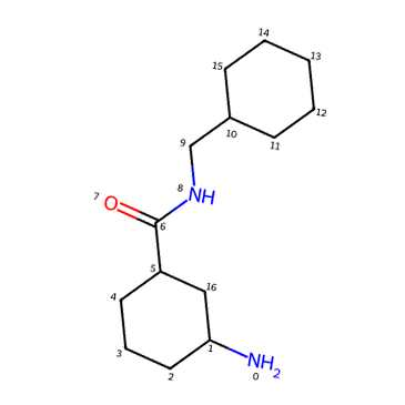 NC1CCCC(C(=O)NCC2CCCCC2)C1